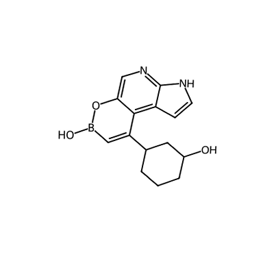 OB1C=C(C2CCCC(O)C2)c2c(cnc3[nH]ccc23)O1